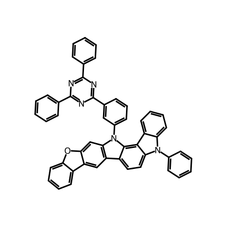 c1ccc(-c2nc(-c3ccccc3)nc(-c3cccc(-n4c5cc6oc7ccccc7c6cc5c5ccc6c(c7ccccc7n6-c6ccccc6)c54)c3)n2)cc1